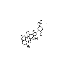 COc1ccc(Cl)c(-c2cc3[nH]c(=O)n(-c4cncc5ccc(Br)cc45)c(=O)c3s2)c1